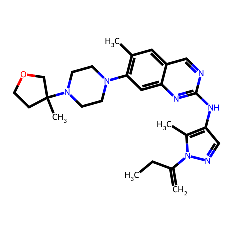 C=C(CC)n1ncc(Nc2ncc3cc(C)c(N4CCN(C5(C)CCOC5)CC4)cc3n2)c1C